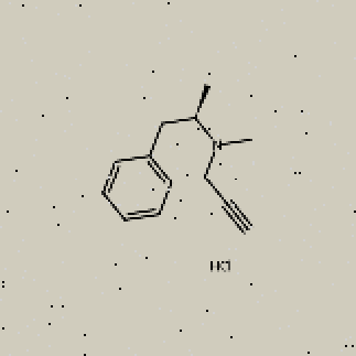 C#CCN(C)[C@H](C)Cc1ccccc1.Cl